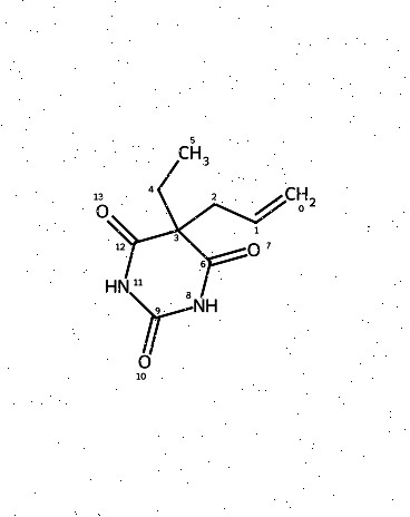 C=CCC1(CC)C(=O)NC(=O)NC1=O